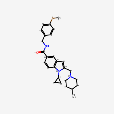 CCSc1ccc(CNC(=O)c2ccc3c(c2)cc(CN2CCC(C(F)(F)F)CC2)n3C2CC2)cc1